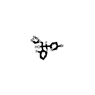 OC(Cn1cnnn1)(c1ccccc1F)C(F)(F)c1ccc(Br)cn1